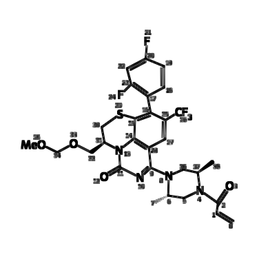 C=CC(=O)N1C[C@H](C)N(c2nc(=O)n3c4c(c(-c5ccc(F)cc5F)c(C(F)(F)F)cc24)SC[C@@H]3COCOC)C[C@H]1C